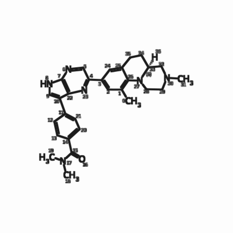 Cc1cc(-c2cnc3[nH]cc(-c4ccc(C(=O)N(C)C)cc4)c3n2)cc2c1N1CCN(C)C[C@@H]1CC2